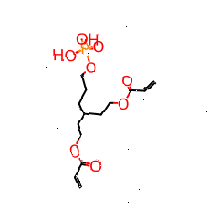 C=CC(=O)OCCC(CCCOP(=O)(O)O)CCOC(=O)C=C